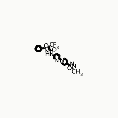 Cc1nnc(C2CCN(c3ccc(NC(=O)c4nc(-c5ccccc5)oc4C(F)(F)F)cn3)CC2)o1